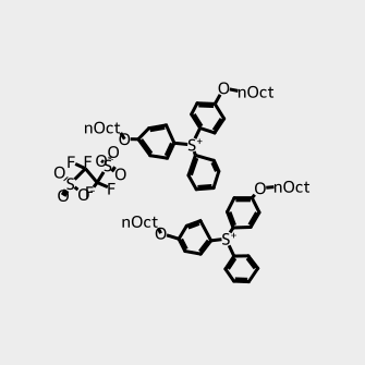 CCCCCCCCOc1ccc([S+](c2ccccc2)c2ccc(OCCCCCCCC)cc2)cc1.CCCCCCCCOc1ccc([S+](c2ccccc2)c2ccc(OCCCCCCCC)cc2)cc1.O=S(=O)([O-])C(F)(F)C(F)(F)S(=O)(=O)[O-]